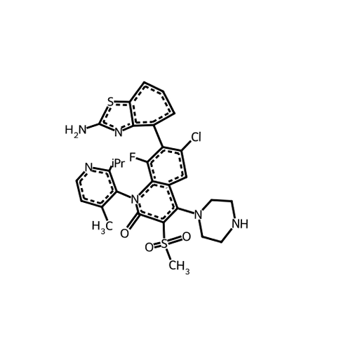 Cc1ccnc(C(C)C)c1-n1c(=O)c(S(C)(=O)=O)c(N2CCNCC2)c2cc(Cl)c(-c3cccc4sc(N)nc34)c(F)c21